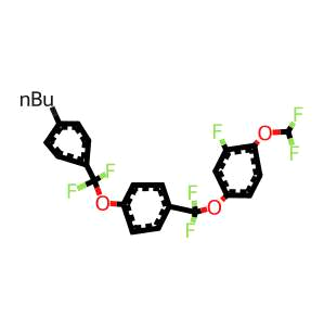 CCCCc1ccc(C(F)(F)Oc2ccc(C(F)(F)Oc3ccc(OC(F)F)c(F)c3)cc2)cc1